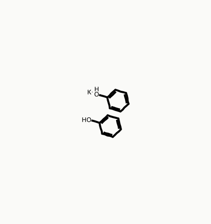 Oc1ccccc1.Oc1ccccc1.[K]